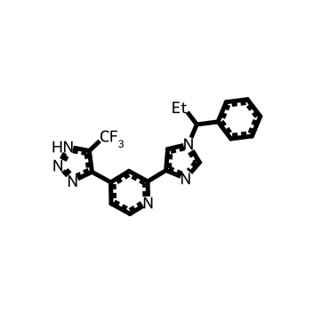 CCC(c1ccccc1)n1cnc(-c2cc(-c3nn[nH]c3C(F)(F)F)ccn2)c1